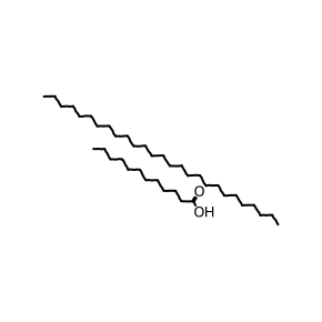 CCCCCCCCCCCC(=O)O.CCCCCCCCCCCCCCCCCCCCCCCCCCC